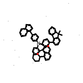 CC1(C)c2ccccc2-c2c(-c3ccc(N(c4ccc(-c5cccc6ccccc56)cc4)c4ccccc4-c4cccc5cccc(C6CCCCC6)c45)cc3)cccc21